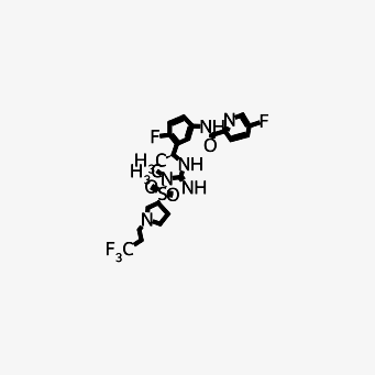 C[C@@H](NC(=N)N(C)S(=O)(=O)[C@H]1CCN(CCC(F)(F)F)C1)c1cc(NC(=O)c2ccc(F)cn2)ccc1F